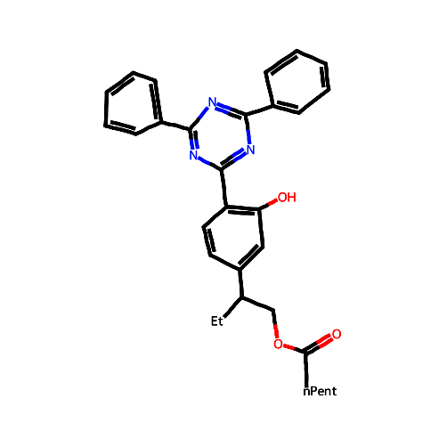 CCCCCC(=O)OCC(CC)c1ccc(-c2nc(-c3ccccc3)nc(-c3ccccc3)n2)c(O)c1